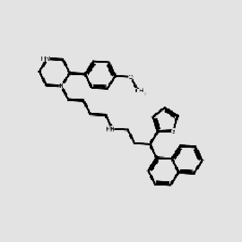 COc1ccc(C2CNCCN2CCCCNCCC(c2cccs2)c2cccc3ccccc23)cc1